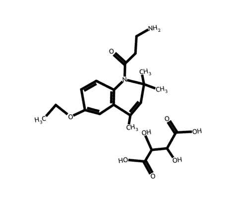 CCOc1ccc2c(c1)C(C)=CC(C)(C)N2C(=O)CCN.O=C(O)C(O)C(O)C(=O)O